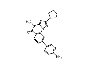 Cn1c(=O)c2ccc(-c3ccc(N)nc3)cc2n2nc(C3CCCC3)cc12